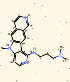 CCN(CC)CCCNc1nccc2c1c1cc3cnccc3cc1n2C